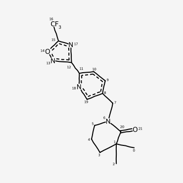 CC1(C)CCCN(Cc2ccc(-c3noc(C(F)(F)F)n3)nc2)C1=O